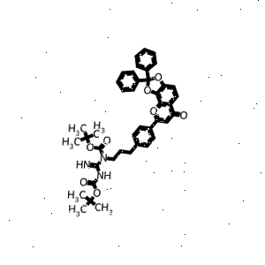 CC(C)(C)OC(=O)NC(=N)N(CCCc1ccc(-c2cc(=O)c3ccc4c(c3o2)OC(c2ccccc2)(c2ccccc2)O4)cc1)C(=O)OC(C)(C)C